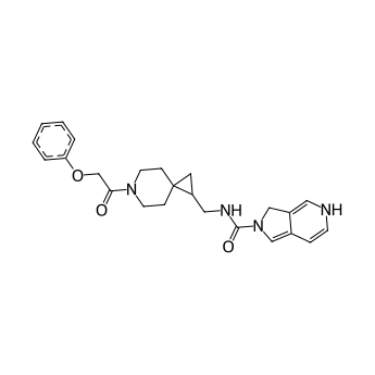 O=C(NCC1CC12CCN(C(=O)COc1ccccc1)CC2)N1C=C2C=CNC=C2C1